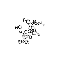 CCN(CC)CCNC(=O)c1c(C)[nH]c(C=C2C(=O)N(C(=O)CN)c3ccc(F)cc32)c1C.Cl